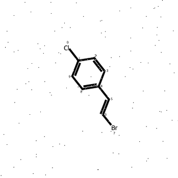 Clc1ccc(C=CBr)cc1